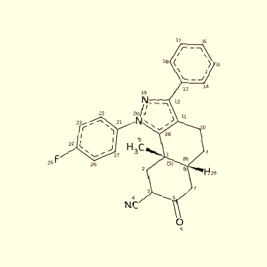 C[C@]12CC(C#N)C(=O)C[C@H]1CCc1c(-c3ccccc3)nn(-c3ccc(F)cc3)c12